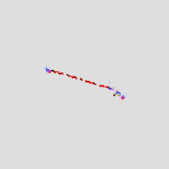 CC(=O)Nc1nc(S(=O)(=O)NCCOCCOCCOCCOCCOCCOCCOCCOCCC(=O)NN)c(C)s1